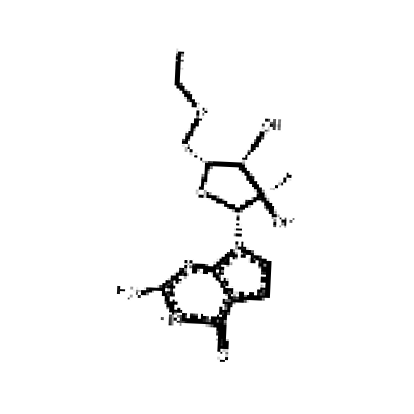 CCOC[C@H]1O[C@@H](n2ccc3c(=O)[nH]c(N)nc32)[C@](C)(O)[C@@H]1O